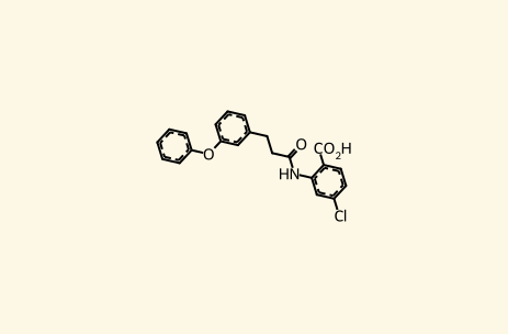 O=C(CCc1cccc(Oc2ccccc2)c1)Nc1cc(Cl)ccc1C(=O)O